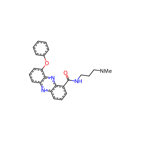 CNCCCNC(=O)c1cccc2nc3cccc(Oc4ccccc4)c3nc12